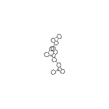 c1ccc(-n2c3ccccc3c3ccc(-c4ccc5c(c4)c4ccc6ccccc6c4n5-c4ccccc4-c4ccc(-c5ccc6c7c(cccc57)-c5ccccc5-6)cc4)cc32)cc1